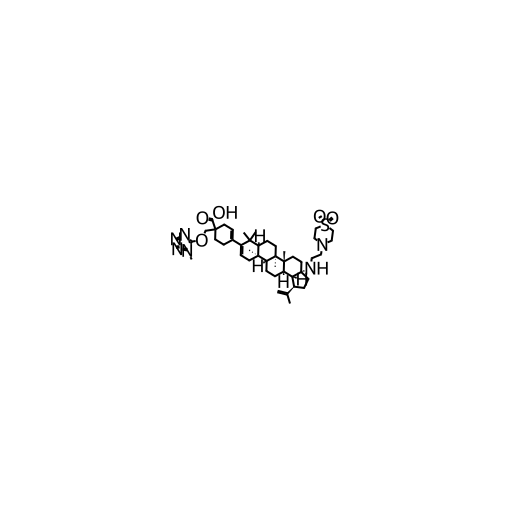 C=C(C)[C@@H]1CC[C@]2(NCCN3CCS(=O)(=O)CC3)CC[C@]3(C)[C@H](CC[C@@H]4[C@@]5(C)CC=C(C6=CCC(COc7nnnn7C)(C(=O)O)CC6)C(C)(C)[C@@H]5CC[C@]43C)[C@@H]12